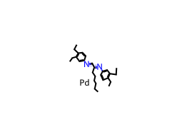 CCCCCCC(/C=N/c1ccc(CC)c(CC)c1)=N\c1ccc(CC)c(CC)c1.[Pd]